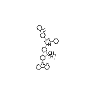 CC1(C)c2cc(-c3nc(-c4ccccc4)nc(-c4ccc5c(c4)sc4ccccc45)n3)ccc2-c2ccc(-n3c4ccccc4c4cccnc43)cc21